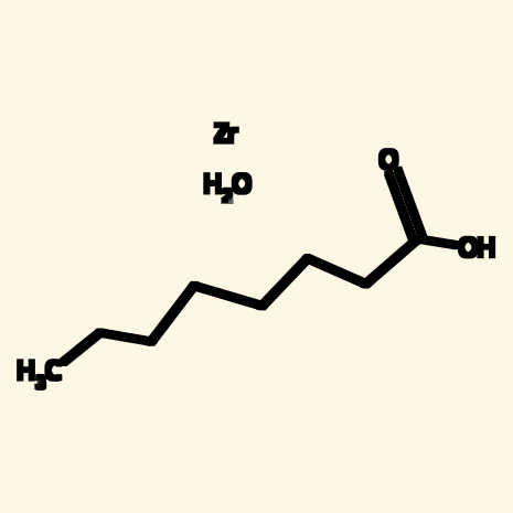 CCCCCCCC(=O)O.O.[Zr]